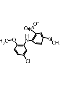 COc1ccc(Nc2cc(Cl)ccc2OC)c([N+](=O)[O-])c1